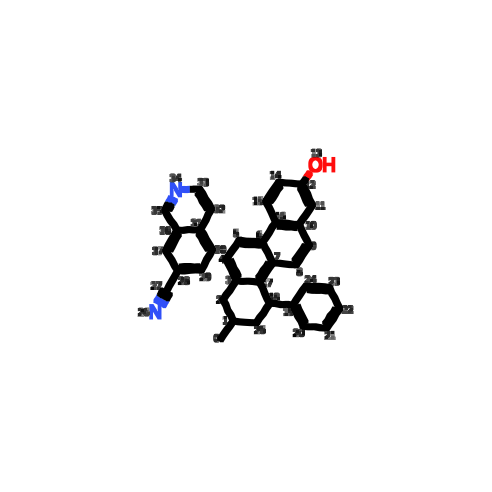 CC1Cc2ccc3c(ccc4cc(O)ccc43)c2C(c2ccccc2)C1.N#Cc1ccc2ccncc2c1